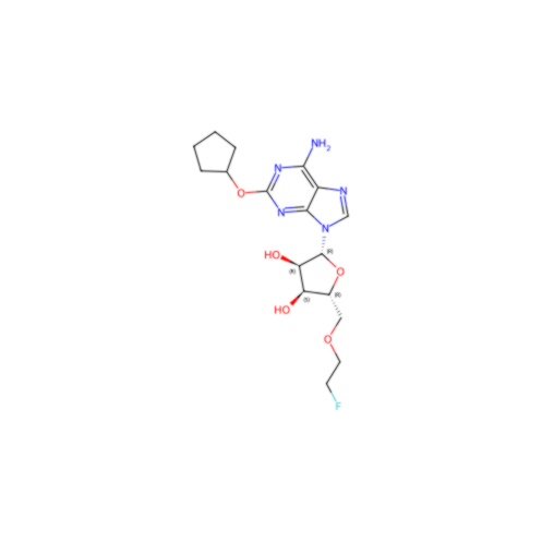 Nc1nc(OC2CCCC2)nc2c1ncn2[C@@H]1O[C@H](COCCF)[C@@H](O)[C@H]1O